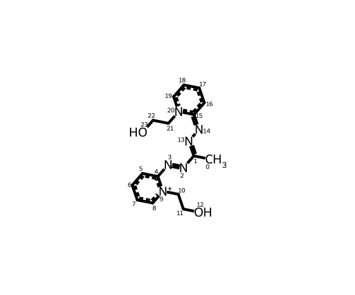 CC(N=Nc1cccc[n+]1CCO)=NN=c1ccccn1CCO